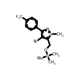 Cn1nc(-c2ccc(C(F)(F)F)cc2)c(Br)c1CO[Si](C)(C)C(C)(C)C